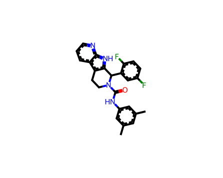 Cc1cc(C)cc(NC(=O)N2CCc3c([nH]c4ncccc34)C2c2cc(F)ccc2F)c1